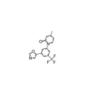 Cc1ccn(-c2cc(-c3cnco3)cc(C(F)(F)F)c2)c(=O)c1